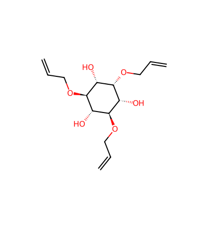 C=CCO[C@H]1[C@H](O)[C@H](OCC=C)[C@H](O)[C@@H](OCC=C)[C@@H]1O